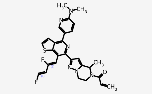 C=CC(=O)N1CCn2nc(-c3nc(-c4ccc(N(C)C)nc4)c4ccsc4c3/C=C(F)/C=C/F)cc2C1C